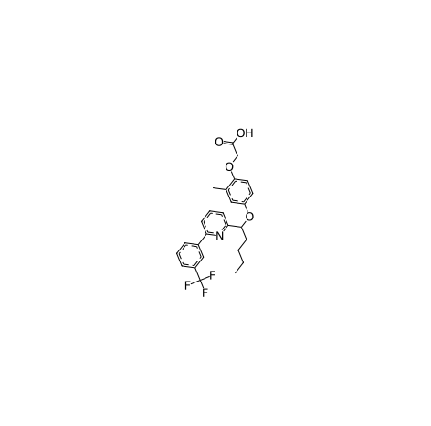 CCCCC(Oc1ccc(OCC(=O)O)c(C)c1)c1cccc(-c2cccc(C(F)(F)F)c2)n1